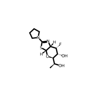 C[C@H](O)[C@H]1O[C@@H]2SC(N3CCCC3)=N[C@@H]2[C@H](F)[C@@H]1O